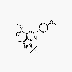 CCOC(=O)c1cc(-c2ccc(OC)cc2)nc2c1c(C)nn2C(C)(C)C